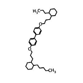 CCCCCC1CCCCC1CCCOc1ccc(-c2ccc(OCCCC3CCCCC3CCC)cc2)cc1